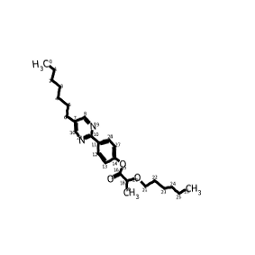 CCCCCCCc1cnc(-c2ccc(OC(=O)C(C)OCCCCCC)cc2)nc1